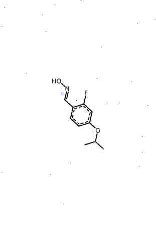 CC(C)Oc1ccc(/C=N/O)c(F)c1